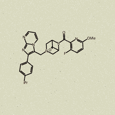 COc1ccc(F)c(C(=O)N2C3CN(Cc4c(-c5ccc(C(C)C)cc5)nc5ncccn45)CC2C3=O)n1